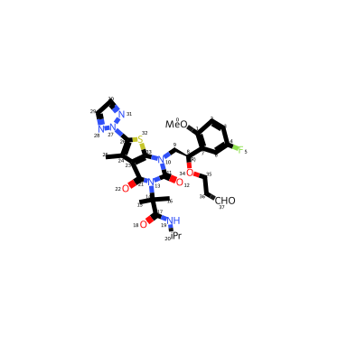 COc1ccc(F)cc1[C@H](Cn1c(=O)n(C(C)(C)C(=O)NC(C)C)c(=O)c2c(C)c(-n3nccn3)sc21)OCCC=O